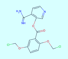 N=C(N)c1ccncc1OC(=O)c1cc(OCCl)ccc1OCCl